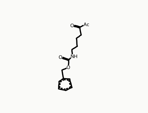 CC(=O)C(=O)CCCCNC(=O)OCc1ccccc1